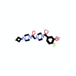 O=C(CN1CCN(C(=O)c2ccc(F)c(Br)c2)CC1)N1CCN(C2CCC2)CC1